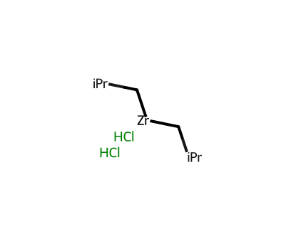 CC(C)[CH2][Zr][CH2]C(C)C.Cl.Cl